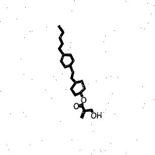 C=C(CO)C(=O)OC1CCC(CCC2CCC(CCCCC)CC2)CC1